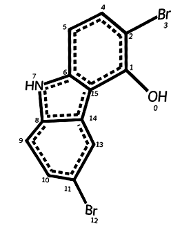 Oc1c(Br)ccc2[nH]c3ccc(Br)cc3c12